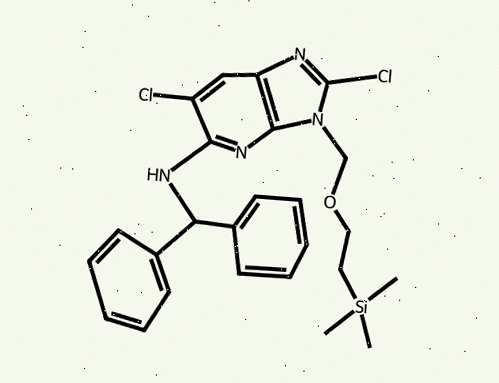 C[Si](C)(C)CCOCn1c(Cl)nc2cc(Cl)c(NC(c3ccccc3)c3ccccc3)nc21